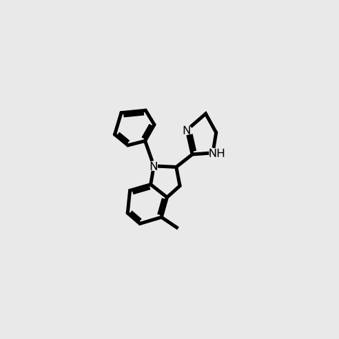 Cc1cccc2c1CC(C1=NCCN1)N2c1ccccc1